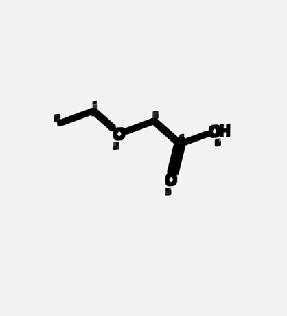 C[CH]OCC(=O)O